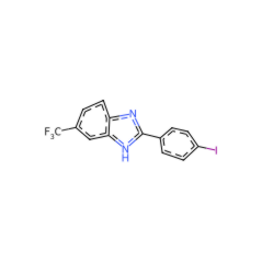 FC(F)(F)c1ccc2nc(-c3ccc(I)cc3)[nH]c2c1